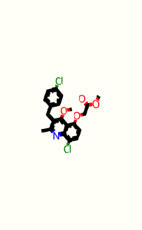 COC(=O)COc1ccc(Cl)c2nc(C)c(Cc3ccc(Cl)cc3)c(OC)c12